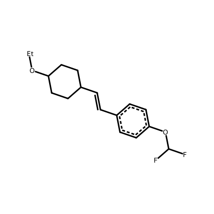 CCOC1CCC(C=Cc2ccc(OC(F)F)cc2)CC1